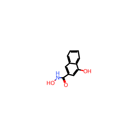 O=C(NO)c1cc(O)c2ccccc2c1